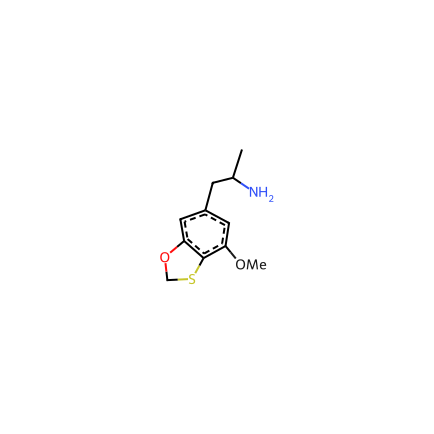 COc1cc(CC(C)N)cc2c1SCO2